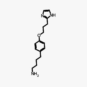 NCCCCc1ccc(OCCCc2ncc[nH]2)cc1